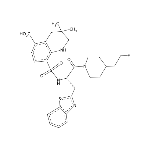 CC1(C)CNc2c(S(=O)(=O)N[C@@H](Cc3nc4ccccc4s3)C(=O)N3CCC(CCF)CC3)ccc(C(=O)O)c2C1